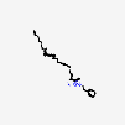 C=C(CCCCC#CCCCCCCCCCCCC)NCCc1ccccc1